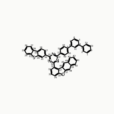 c1ccc(-c2cccc(-c3ccc(-c4nc(-c5ccc6c(c5)sc5ccccc56)nc(-c5cccc6oc7cc8ccccc8cc7c56)n4)cc3)c2)cc1